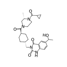 CC(O)c1ccc2[nH]c(=O)n(C[C@H]3CC[C@H](C(=O)N4CCN(C(=O)C5CC5)[C@@H](C)C4)CC3)c(=O)c2c1